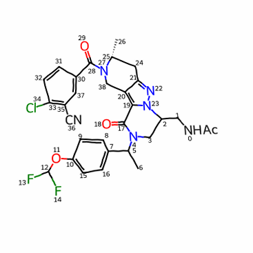 CC(=O)NCC1CN(C(C)c2ccc(OC(F)F)cc2)C(=O)c2c3c(nn21)C[C@@H](C)N(C(=O)c1ccc(Cl)c(C#N)c1)C3